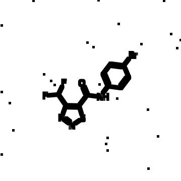 O=C(Nc1ccc(Br)cc1)c1snnc1C(F)F